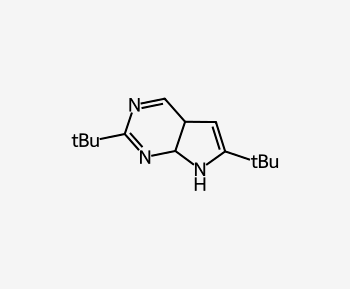 CC(C)(C)C1=CC2C=NC(C(C)(C)C)=NC2N1